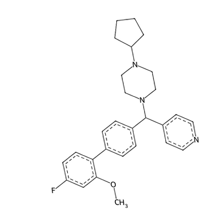 COc1cc(F)ccc1-c1ccc(C(c2ccncc2)N2CCN(C3CCCC3)CC2)cc1